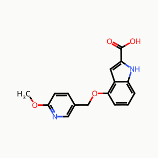 COc1ccc(COc2cccc3[nH]c(C(=O)O)cc23)cn1